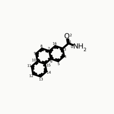 NC(=O)c1ccc2c(ccc3ccccc32)c1